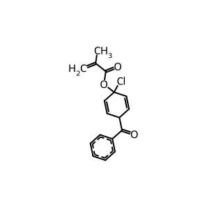 C=C(C)C(=O)OC1(Cl)C=CC(C(=O)c2ccccc2)C=C1